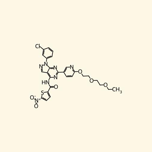 CCOCCOCCOc1ccc(-c2nc(NC(=O)c3ccc([N+](=O)[O-])s3)c3cnn(-c4cccc(Cl)c4)c3n2)cn1